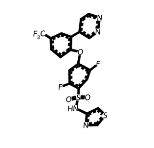 O=S(=O)(Nc1cscn1)c1cc(F)c(Oc2ccc(C(F)(F)F)cc2-c2ccnnc2)cc1F